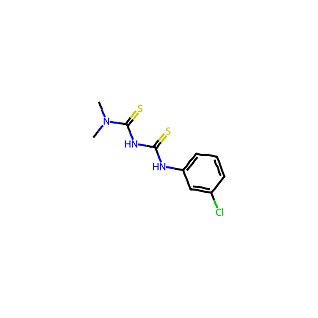 CN(C)C(=S)NC(=S)Nc1cccc(Cl)c1